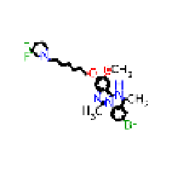 COc1cc2c(NC(C)c3cccc(Br)c3)nc(C)nc2cc1OCCCCCCCN1CCCC(F)(F)C1